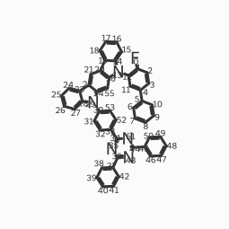 Fc1ccc(-c2ccccc2)cc1-n1c2ccccc2c2cc3c4ccccc4n(-c4ccc(-c5nc(-c6ccccc6)nc(-c6ccccc6)n5)cc4)c3cc21